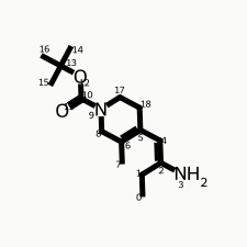 CC/C(N)=C\C1=C(C)CN(C(=O)OC(C)(C)C)CC1